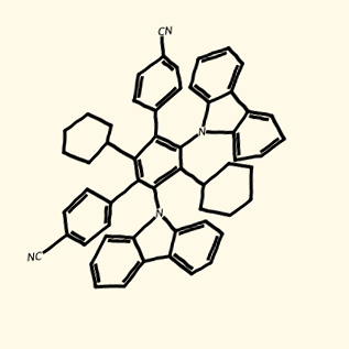 N#Cc1ccc(-c2c(C3CCCCC3)c(-c3ccc(C#N)cc3)c(-n3c4ccccc4c4ccccc43)c(C3CCCCC3)c2-n2c3ccccc3c3ccccc32)cc1